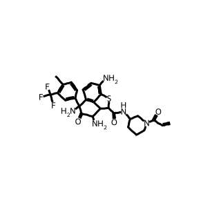 C=CC(=O)N1CCCC(NC(=O)C2Sc3c(N)ccc4c3C2C(N)C(=O)C4(N)c2ccc(C)c(C(F)(F)F)c2)C1